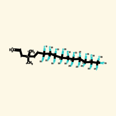 C=C[CH2][Sn]([CH3])([CH3])[CH2]CC(F)(F)C(F)(F)C(F)(F)C(F)(F)C(F)(F)C(F)(F)C(F)(F)C(F)(F)C(F)(F)C(F)(F)F